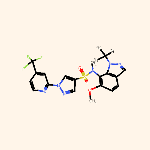 [2H]C([2H])([2H])n1ncc2ccc(OC)c(N(C)S(=O)(=O)c3cnn(-c4cc(C(F)(F)F)ccn4)c3)c21